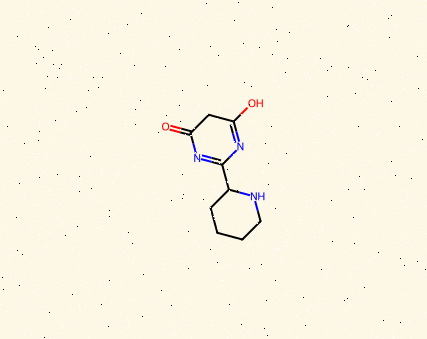 O=C1CC(O)=NC(C2CCCCN2)=N1